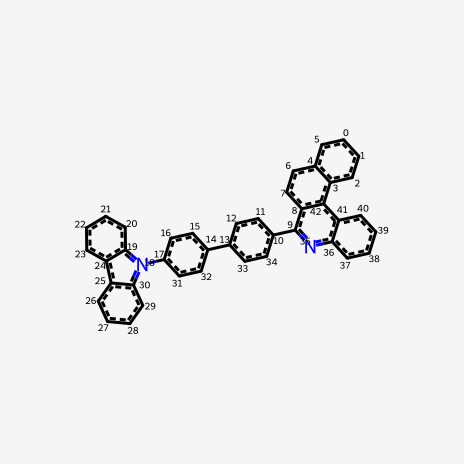 c1ccc2c(c1)ccc1c(-c3ccc(-c4ccc(-n5c6ccccc6c6ccccc65)cc4)cc3)nc3ccccc3c12